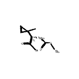 CC(C)C(=O)[C@@H](NC(=O)OC(C)(C)C)C1(C)CC1